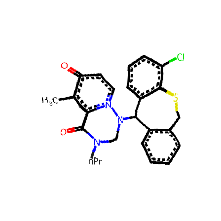 CCCN1CN(C2c3ccccc3CSc3c(Cl)cccc32)n2ccc(=O)c(C)c2C1=O